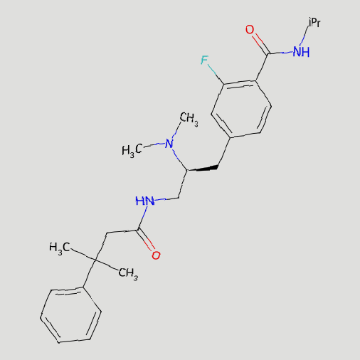 CC(C)NC(=O)c1ccc(C[C@@H](CNC(=O)CC(C)(C)c2ccccc2)N(C)C)cc1F